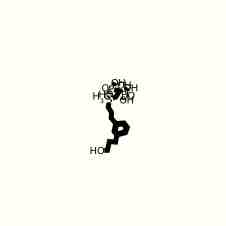 C[S+](CCCc1cccc(CCCO)c1)CC(O)(P(=O)(O)O)P(=O)(O)O